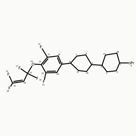 CCCC1CCC(C2CCC(c3cc(F)c(OC(F)(F)C=C(F)F)c(F)c3)CC2)CC1